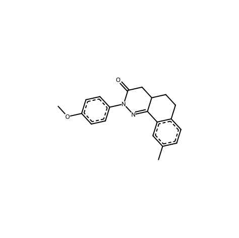 COc1ccc(N2N=C3c4cc(C)ccc4CCC3CC2=O)cc1